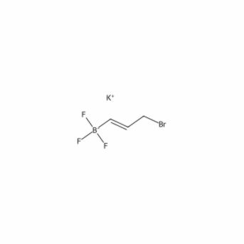 F[B-](F)(F)/C=C/CBr.[K+]